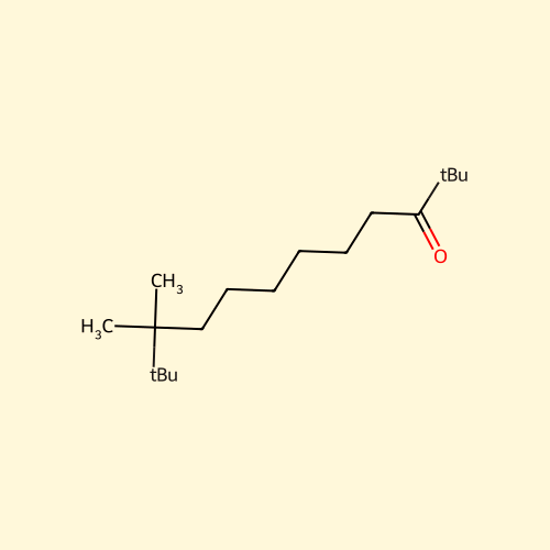 CC(C)(C)C(=O)CCCCCCC(C)(C)C(C)(C)C